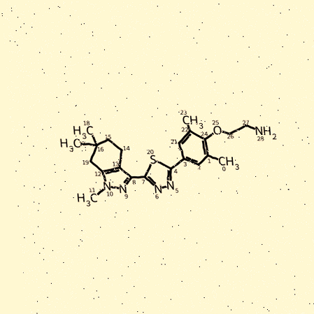 Cc1cc(-c2nnc(-c3nn(C)c4c3CCC(C)(C)C4)s2)cc(C)c1OCCN